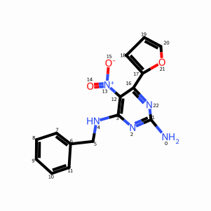 Nc1nc(NCc2ccccc2)c([N+](=O)[O-])c(-c2ccco2)n1